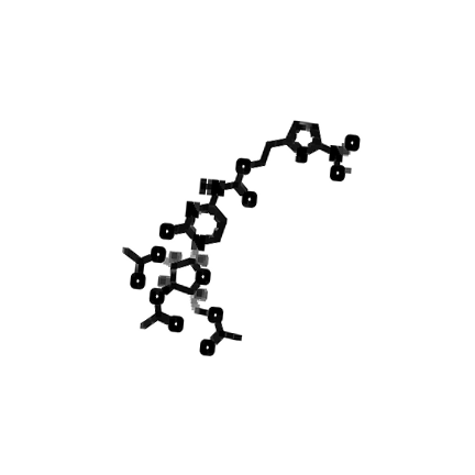 CC(=O)OC[C@H]1O[C@@H](n2ccc(NC(=O)OCCc3ccc([N+](=O)[O-])s3)nc2=O)[C@@H](OC(C)=O)[C@@H]1OC(C)=O